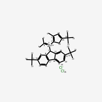 CC1=[C]([Zr+2](=[C](C)C)[CH]2c3cc(C(C)(C)C)ccc3-c3ccc(C(C)(C)C)cc32)CC(C(C)(C)C)=C1.[Cl-].[Cl-]